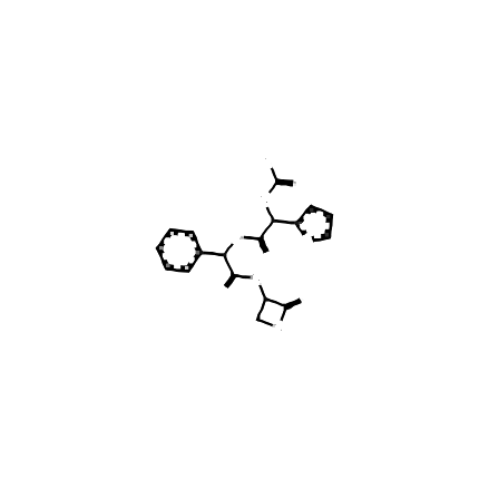 NC(=O)NC(C(=O)NC(C(=O)NC1CNC1=O)c1ccccc1)c1cccs1